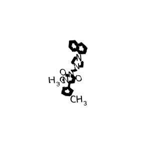 Cc1cccc(-c2cc(=O)n(CCN3CCN(c4cccc5ccccc45)CC3)c(=O)n2C)c1